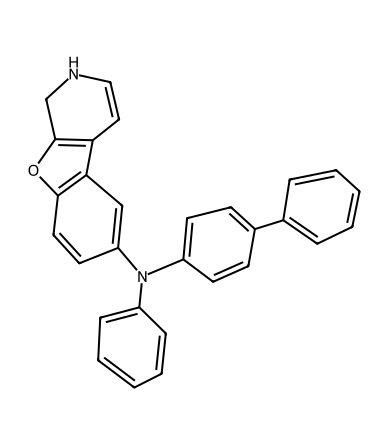 C1=Cc2c(oc3ccc(N(c4ccccc4)c4ccc(-c5ccccc5)cc4)cc23)CN1